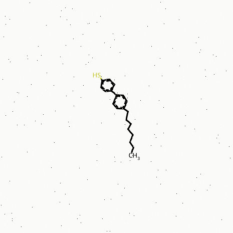 CCCCCCCCc1ccc(-c2ccc(S)cc2)cc1